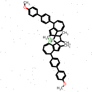 COc1ccc(-c2ccc(C3C=CC=CC4=C3C=C(C)[C]43C(C)C(C)[C]4(C(C)=CC5=C4C=CC=CC5c4ccc(-c5ccc(OC)cc5)cc4)[Zr]3([Cl])[Cl])cc2)cc1